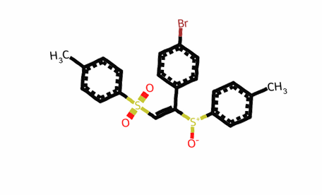 Cc1ccc([S+]([O-])/C(=C/S(=O)(=O)c2ccc(C)cc2)c2ccc(Br)cc2)cc1